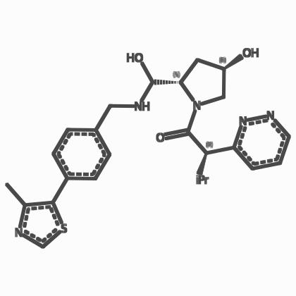 Cc1ncsc1-c1ccc(CNC(O)[C@@H]2C[C@@H](O)CN2C(=O)[C@@H](c2cccnn2)C(C)C)cc1